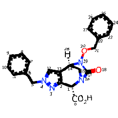 O=C(O)[C@@H]1c2nn(Cc3ccccc3)cc2[C@@H]2CN1C(=O)N2OCc1ccccc1